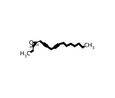 CCCCCCCC#CCC#CC[C@@H]1O[C@@H]1CC